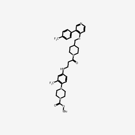 CC(C)(C)OC(=O)N1CCN(c2ccc(NCCC(=O)N3CCC(CSc4ccncc4-c4ccc(C(F)(F)F)cc4)CC3)cc2C(F)(F)F)CC1